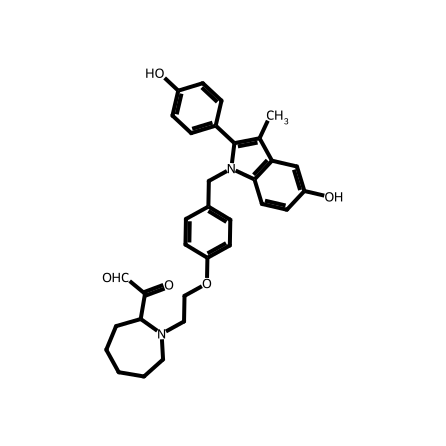 Cc1c(-c2ccc(O)cc2)n(Cc2ccc(OCCN3CCCCCC3C(=O)C=O)cc2)c2ccc(O)cc12